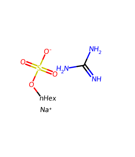 CCCCCCOS(=O)(=O)[O-].N=C(N)N.[Na+]